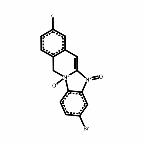 O=[N+]1C2=Cc3cc(Cl)ccc3C[N+]2([O-])c2ccc(Br)cc21